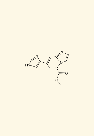 COC(=O)c1cc(-c2c[nH]cn2)cc2nccn12